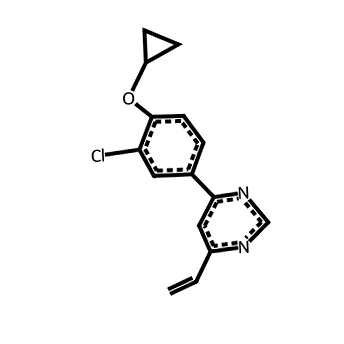 C=Cc1cc(-c2ccc(OC3CC3)c(Cl)c2)ncn1